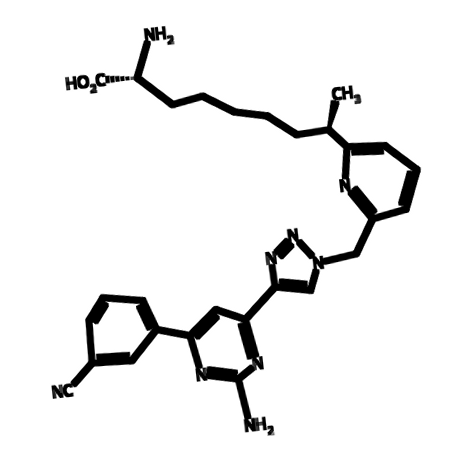 C[C@H](CCCCC[C@@H](N)C(=O)O)c1cccc(Cn2cc(-c3cc(-c4cccc(C#N)c4)nc(N)n3)nn2)n1